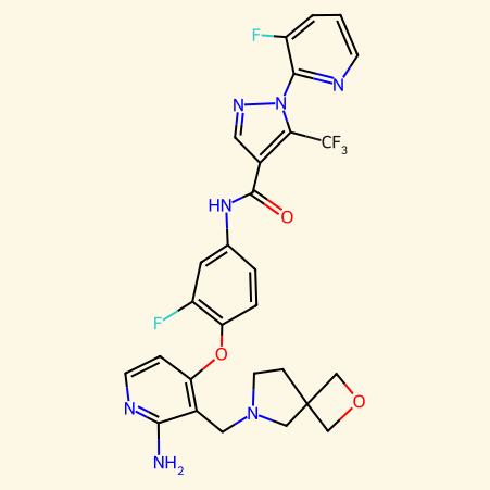 Nc1nccc(Oc2ccc(NC(=O)c3cnn(-c4ncccc4F)c3C(F)(F)F)cc2F)c1CN1CCC2(COC2)C1